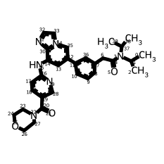 CC(C)N(C(=O)Cc1cccc(-c2cc(Nc3ccc(C(=O)N4CCOCC4)cn3)c3nccn3c2)c1)C(C)C